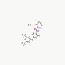 Cc1cc(Cc2cc(C(F)(F)F)cc(C(F)(F)F)c2)ccc1NC(=O)c1cccc(I)c1C(=O)O